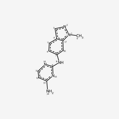 Cn1ncc2ccc(Nc3nccc(N)n3)cc21